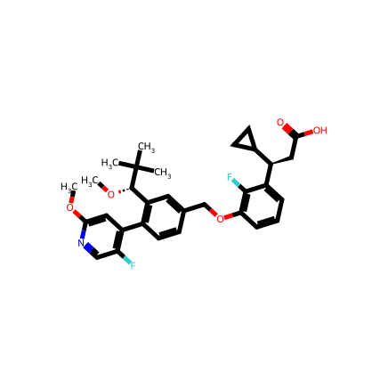 COc1cc(-c2ccc(COc3cccc([C@H](CC(=O)O)C4CC4)c3F)cc2[C@H](OC)C(C)(C)C)c(F)cn1